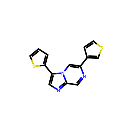 c1csc(-c2cnc3cnc(-c4ccsc4)cn23)c1